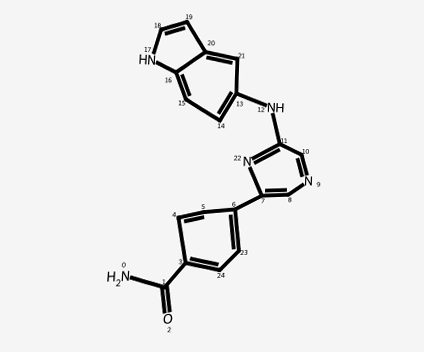 NC(=O)c1ccc(-c2cncc(Nc3ccc4[nH]ccc4c3)n2)cc1